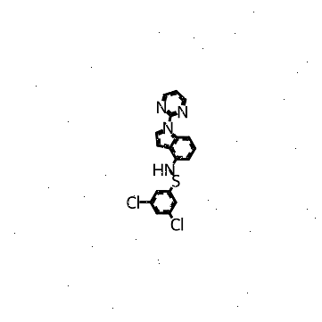 Clc1cc(Cl)cc(SNc2cccc3c2ccn3-c2ncccn2)c1